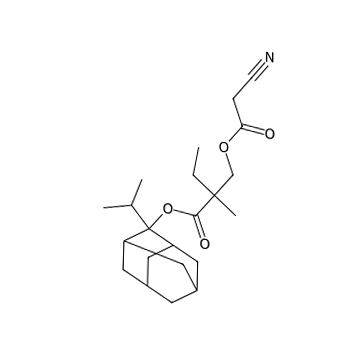 CCC(C)(COC(=O)CC#N)C(=O)OC1(C(C)C)C2CC3CC(C2)CC1C3